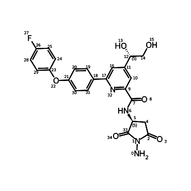 NN1C(=O)C[C@H](NC(=O)c2cc([C@H](O)CO)cc(-c3ccc(Oc4ccc(F)cc4)cc3)n2)C1=O